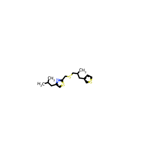 CC(C)Cc1csc(CSCC(C)Cc2ccsc2)n1